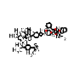 Cc1ncsc1-c1ccc([C@H](C)NC(=O)[C@@H]2C[C@H](O)CN2C(=O)[C@@H](NC(=O)C2CCC3(CC2)CC(N2CCC(c4cnc(N5C6CCC5CN(c5cc(-c7ccccc7O)nnc5N)C6)nc4)CC2)C3)C(C)(C)C)cc1